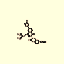 COc1ccc2c(c1)C[C@@H](C(=O)Nc1ccc(-c3cn[nH]c3)cc1OCCN(C)C)NC2